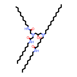 CCCCCCCCCCCCCCN(CCCCCC(=O)NCCCCCCCCCC)CC(O)CN(CC(=O)NCCCCCCCCCC)CC(=O)NCCCCCCCCCC